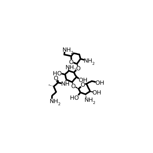 C[C@@H](CCN)C(=O)N[C@@H]1C(O)[C@H](N)C(O[C@H]2OC(CN)CCC2N)C(O)[C@H]1O[C@H]1OC(CO)[C@@H](O)[C@H](N)C1O